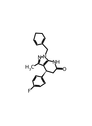 Cc1nn(CC2=CCCC=C2)c2c1[C@H](c1ccc(F)cc1)CC(=O)N2